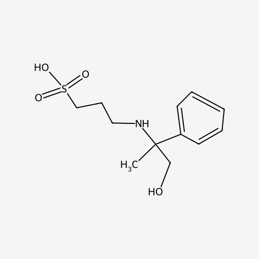 CC(CO)(NCCCS(=O)(=O)O)c1ccccc1